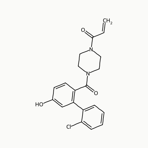 C=CC(=O)N1CCN(C(=O)c2ccc(O)cc2-c2ccccc2Cl)CC1